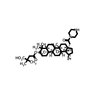 CC(C)[C@@H]1CC[C@]2(CC(=O)N3CCNCC3)CC[C@]3(C)[C@H](CC[C@@H]4[C@@]5(C)CC[C@H](OC(=O)CC(C)(C)C(=O)O)C(C)(C)[C@@H]5CC[C@]43C)[C@@H]12